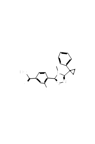 Cn1c(-c2ccc(C(=O)O)cc2Cl)nnc1C1(c2ccccc2)CC1